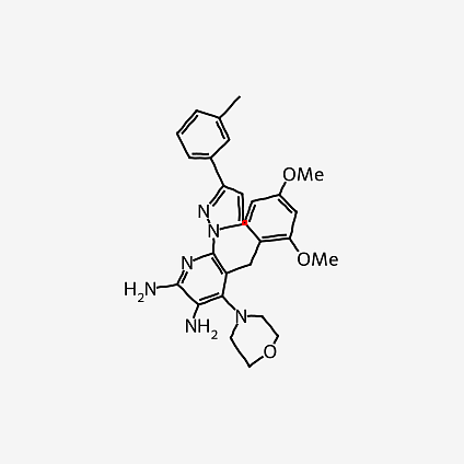 COc1ccc(Cc2c(-n3ccc(-c4cccc(C)c4)n3)nc(N)c(N)c2N2CCOCC2)c(OC)c1